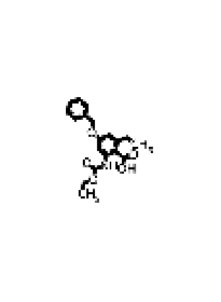 CCOC(=O)Nc1cc(OCc2ccccc2)cc(CC)c1C(=O)O